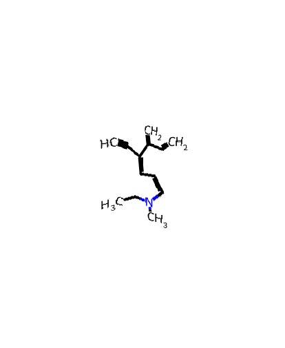 C#C/C(=C/C=C\N(C)CC)C(=C)C=C